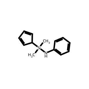 C[Si](C)(Nc1ccccc1)C1C=CC=C1